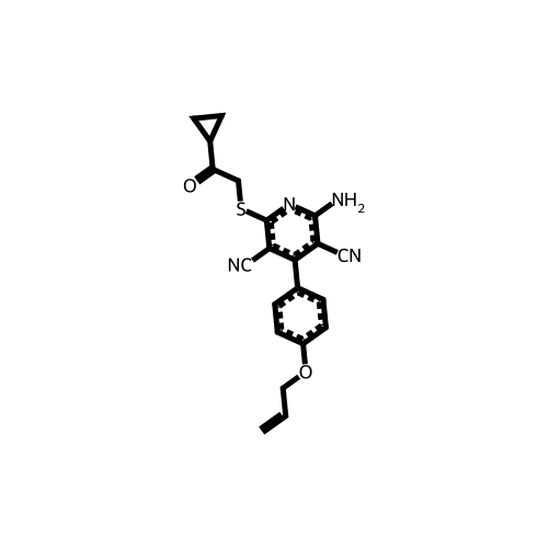 C=CCOc1ccc(-c2c(C#N)c(N)nc(SCC(=O)C3CC3)c2C#N)cc1